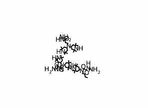 CC1(C)CC(N(C(=O)C(=O)NN)C2CC(C)(C)NC(C)(C)C2)CC(C)(C)N1.CC1(C)CC(N(CCC(=O)NN)C2CC(C)(C)NC(C)(C)C2)CC(C)(C)N1.CCCCN(C(=O)C(=O)NN)C1CC(C)(C)NC(C)(C)C1